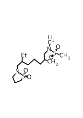 CCC(CCCC(C)CN(C)S(C)(=O)=O)CN1CCCS1(=O)=O